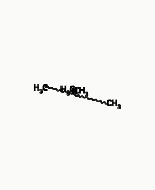 CCCCCCCCCCCCCCCCC(CCCCCCCCCCCCC)N(C)C